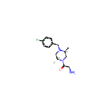 C[C@@H]1CN(Cc2ccc(F)cc2)[C@@H](C)CN1C(=O)CN